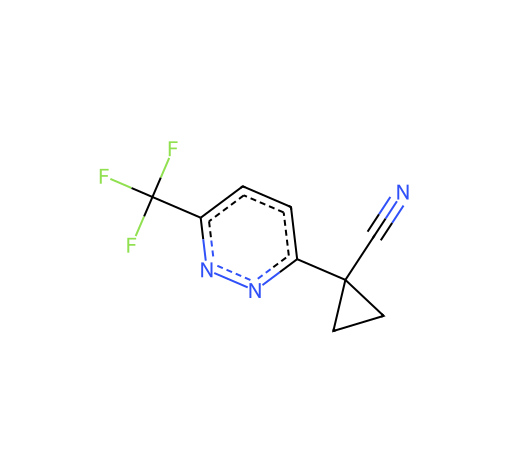 N#CC1(c2ccc(C(F)(F)F)nn2)CC1